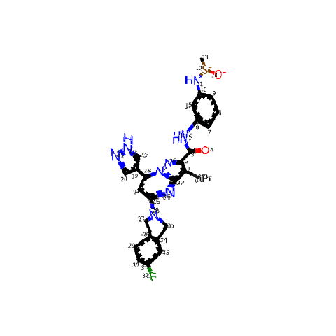 CC(C)c1c(C(=O)Nc2cccc(N[S+](C)[O-])c2)nn2c(-c3cn[nH]c3)cc(N3Cc4ccc(F)cc4C3)nc12